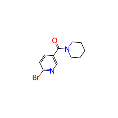 O=C(c1ccc(Br)nc1)N1CCCCC1